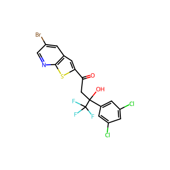 O=C(CC(O)(c1cc(Cl)cc(Cl)c1)C(F)(F)F)c1cc2cc(Br)cnc2s1